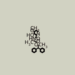 COc1ccnc(C(=O)N[C@@H](C)C(=O)OC(C)C(c2ccccc2)c2ccccc2)c1O